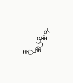 Cc1c(C(=O)NCCOC(C)C)ccc2nn(CC3CCNCC3)cc12